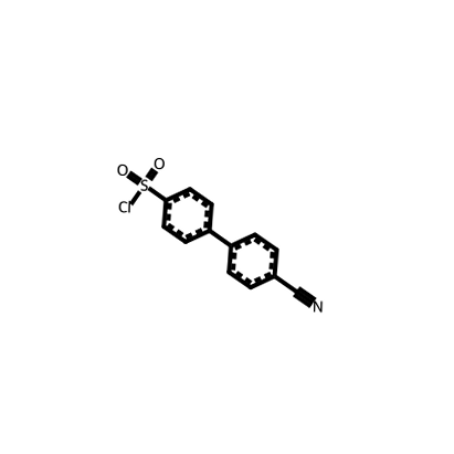 N#Cc1ccc(-c2ccc(S(=O)(=O)Cl)cc2)cc1